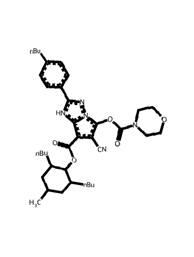 CCCCc1ccc(-c2nn3c(OC(=O)N4CCOCC4)c(C#N)c(C(=O)OC4C(CCCC)CC(C)CC4CCCC)c3[nH]2)cc1